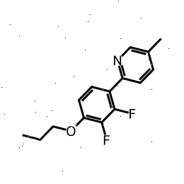 CCCOc1ccc(-c2ccc(C)cn2)c(F)c1F